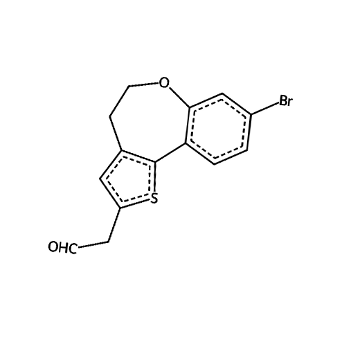 O=CCc1cc2c(s1)-c1ccc(Br)cc1OCC2